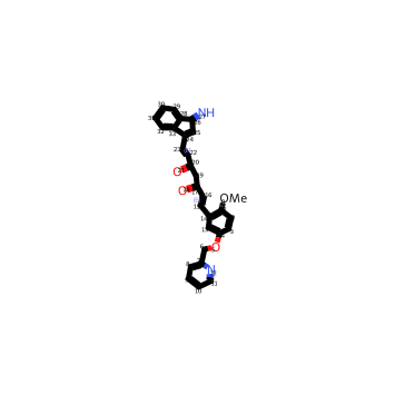 COc1ccc(OCc2ccccn2)cc1/C=C/C(=O)CC(=O)/C=C/C1=CC(=N)c2ccccc21